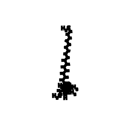 CCCCCCCCCCCCCCCCCC(=O)OC(O)(CC)[N+](C)(C)C